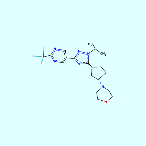 CC(C)n1nc(-c2cnc(C(F)(F)F)nc2)nc1[C@H]1CC[C@H](N2CCOCC2)C1